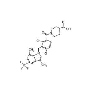 Cc1cn(Cc2c(Cl)ccc(C(=O)N3CCC(C(=O)O)CC3)c2Cl)c2c(C)cc(C(F)(F)F)cc12